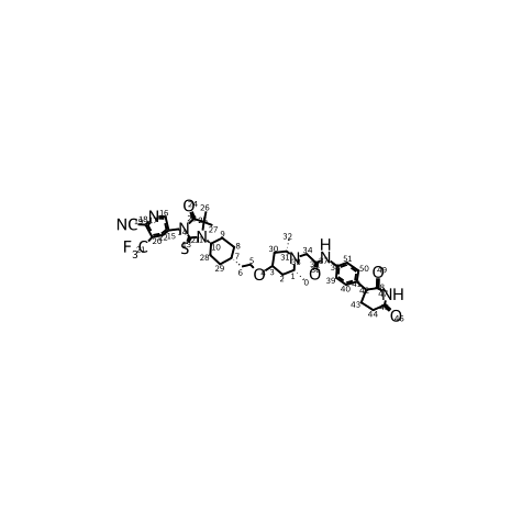 C[C@@H]1CC(OCC[C@H]2CC[C@H](N3C(=S)N(c4cnc(C#N)c(C(F)(F)F)c4)C(=O)C3(C)C)CC2)C[C@H](C)N1CC(=O)Nc1ccc(C2CCC(=O)NC2=O)cc1